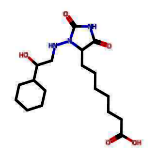 O=C(O)CCCCCCC1C(=O)NC(=O)N1NCC(O)C1CCCCC1